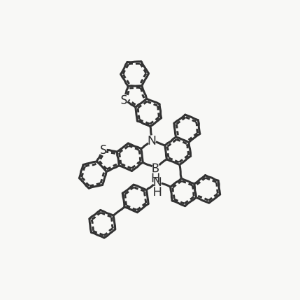 B1c2cc3c(cc2N(c2ccc4c(c2)sc2ccccc24)c2c1c(-c1c(Nc4ccc(-c5ccccc5)cc4)ccc4ccccc14)cc1ccccc21)sc1ccccc13